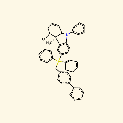 CC1CC=CC2N(c3ccccc3)c3ccc(S(Cc4ccc(-c5ccccc5)cc4)(C4=CC=CCC4)c4ccccc4)cc3[C@@]12C